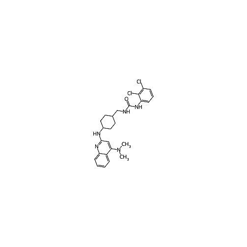 CN(C)c1cc(NC2CCC(CNC(=O)Nc3cccc(Cl)c3Cl)CC2)nc2ccccc12